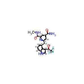 CNC(=O)c1cc(C(N)=O)cc(Cc2cccc3[nH]cc(C(=O)C(F)(F)F)c23)n1